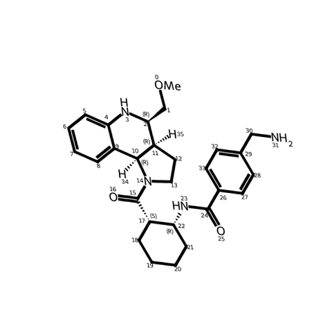 COC[C@@H]1Nc2ccccc2[C@H]2[C@@H]1CCN2C(=O)[C@H]1CCCC[C@H]1NC(=O)c1ccc(CN)cc1